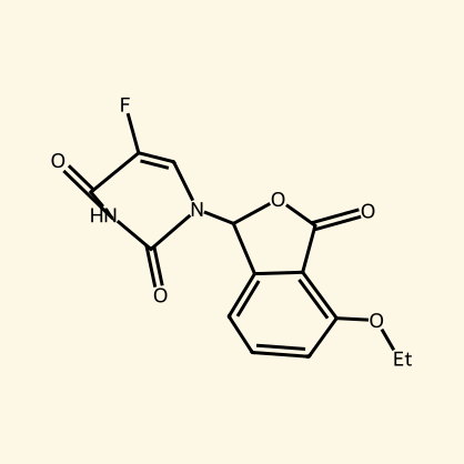 CCOc1cccc2c1C(=O)OC2n1cc(F)c(=O)[nH]c1=O